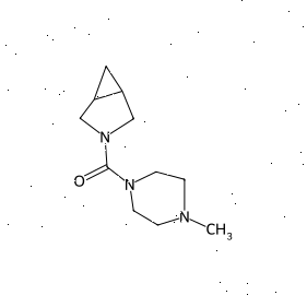 CN1CCN(C(=O)N2CC3CC3C2)CC1